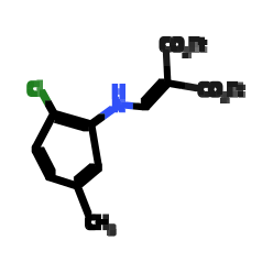 CCOC(=O)C(=CNc1cc(C)ccc1Cl)C(=O)OCC